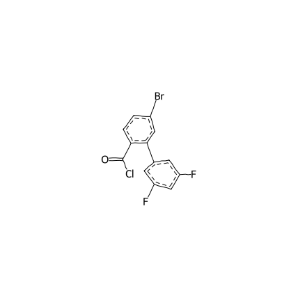 O=C(Cl)c1ccc(Br)cc1-c1cc(F)cc(F)c1